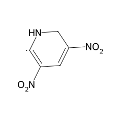 O=[N+]([O-])C1=[C]NCC([N+](=O)[O-])=C1